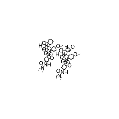 CCOc1ccc2c(c1)C(N)(c1ccccc1Cl)C(=O)N2S(=O)(=O)c1ccc(NC(=O)N(CC)CC)cc1OC.CCOc1ccc2c(c1)C(N)(c1ccccc1Cl)C(=O)N2S(=O)(=O)c1ccc(NC(=O)N(CC)CC)cc1OC.O